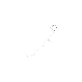 CCCCCCCCCCCCCCCC(=O)OCc1ncc[nH]1